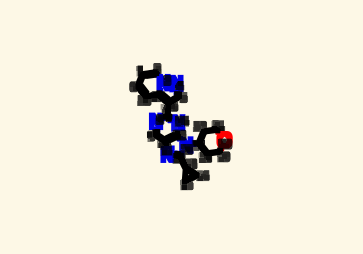 c1ccn2ncc(-c3ncc4nc(C5CC5)n(C5CCOCC5)c4n3)c2c1